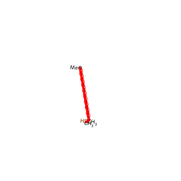 COCCOCCOCCOCCOCCOCCOCCOCCOCCOCCOCCOCCOCCOCCOCCOCCOCCOCCSCC(C)SCC(C)S